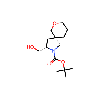 CC(C)(C)OC(=O)N1C[C@]2(CCCOC2)C[C@H]1CO